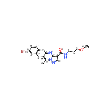 Cc1nc2c(C(=O)NCCCOC(C)C)cnn2c(C)c1Cc1cccc(Br)c1